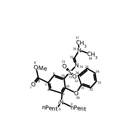 CCCCCN(CCCCC)c1cc(C(=O)OC)cc(S(=O)(=O)N=CN(C)C)c1Oc1ccccc1